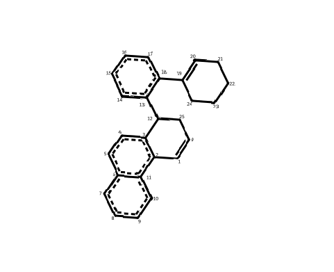 C1=Cc2c(ccc3ccccc23)C(c2ccccc2C2=CCCCC2)C1